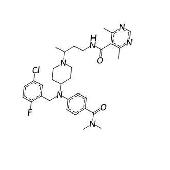 Cc1ncnc(C)c1C(=O)NCCC(C)N1CCC(N(Cc2cc(Cl)ccc2F)c2ccc(C(=O)N(C)C)cc2)CC1